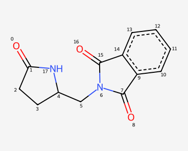 O=C1CCC(CN2C(=O)c3ccccc3C2=O)N1